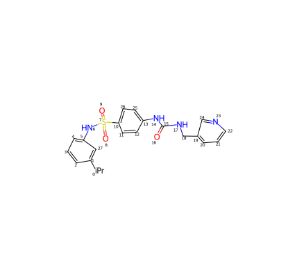 CC(C)c1cccc(NS(=O)(=O)c2ccc(NC(=O)NCc3cccnc3)cc2)c1